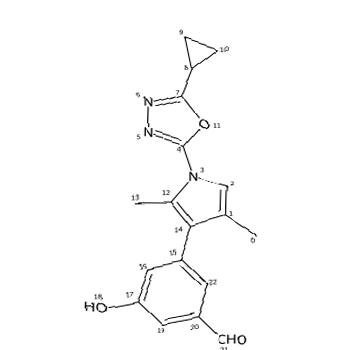 Cc1cn(-c2nnc(C3CC3)o2)c(C)c1-c1cc(O)cc(C=O)c1